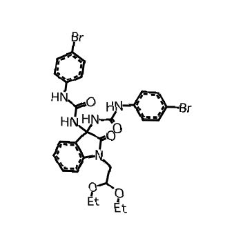 CCOC(CN1C(=O)C(NC(=O)Nc2ccc(Br)cc2)(NC(=O)Nc2ccc(Br)cc2)c2ccccc21)OCC